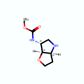 CC(C)(C)OC(=O)N[C@@H]1CN[C@H]2CCO[C@H]21